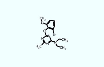 CCN(CC)c1nc(C)nc(Oc2c(Br)c[c]cc2OC)n1